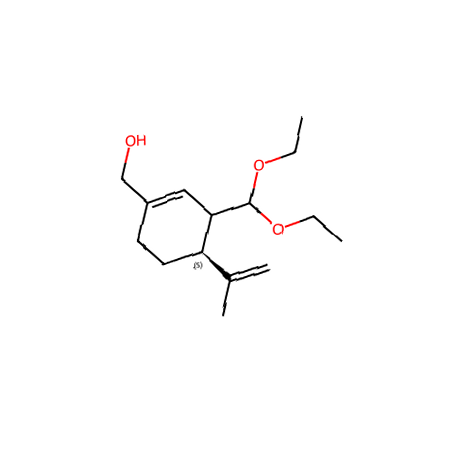 C=C(C)[C@H]1CCC(CO)=CC1C(OCC)OCC